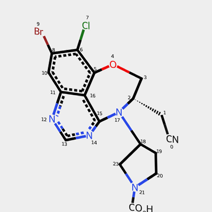 N#CC[C@H]1COc2c(Cl)c(Br)cc3ncnc(c23)N1C1CCN(C(=O)O)C1